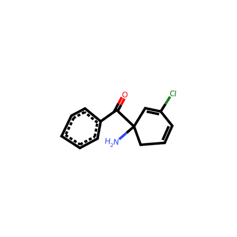 NC1(C(=O)c2ccccc2)C=C(Cl)C=CC1